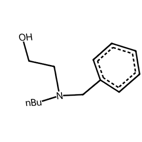 CCCCN(CCO)Cc1ccccc1